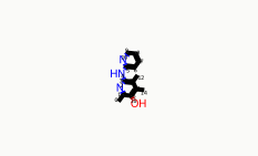 Cc1nc(Nc2ccccn2)c(C)c(C)c1O